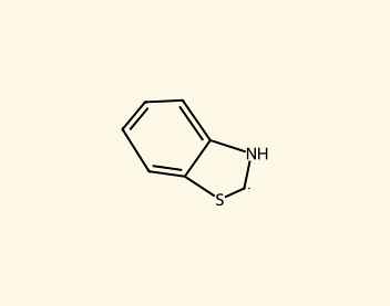 [CH]1Nc2ccccc2S1